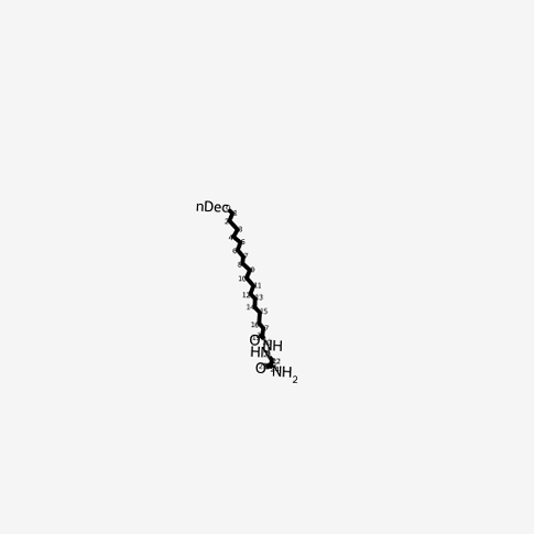 CCCCCCCCCCCCCCCCCCCCCCCCCCCC(=O)NNCC(N)=O